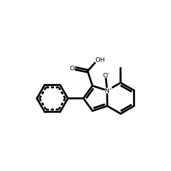 CC1=CC=CC2=CC(c3ccccc3)=C(C(=O)O)[N+]12[O-]